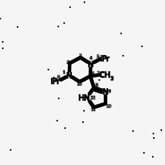 CC(C)N1CCN(C(C)C)C(C)(C2=NCCN2)C1